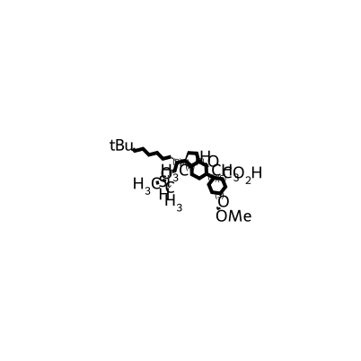 COCO[C@H]1CC[C@](C)(C2CC[C@]3(C)[C@@H]([C@@H](CCCCCCC(C)(C)C)CO[SiH](C)C)CC[C@H]3C2=O)[C@@H](C(=O)O)C1